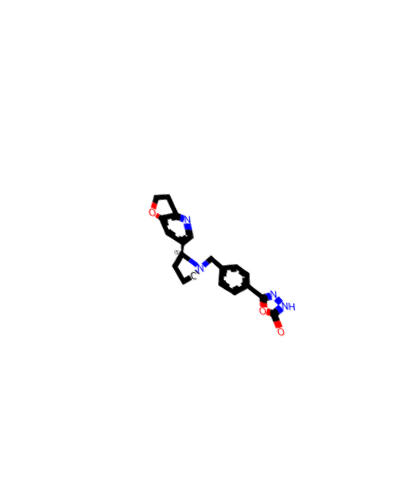 O=c1[nH]nc(-c2ccc(CN3CCC[C@H]3c3cnc4c(c3)OCC4)cc2)o1